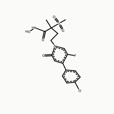 CC(CCn1cc(F)c(-c2ccc(Cl)cc2)cc1=O)(C(=O)NO)S(C)(=O)=O